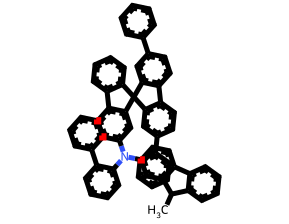 CC1c2ccccc2-c2ccc(N(c3ccc4c(c3)C3(c5ccccc5-4)c4cc(-c5ccccc5)ccc4-c4ccc(-c5ccccc5)cc43)c3ccccc3-c3ccccc3)cc21